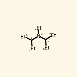 CCC(CC)N(CC)C(CC)CC